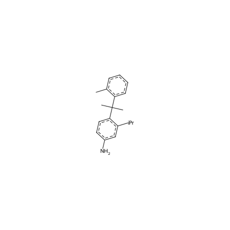 Cc1ccccc1C(C)(C)c1ccc(N)cc1C(C)C